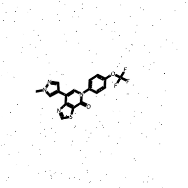 Cn1cc(-c2cn(-c3ccc(OC(F)(F)F)cc3)c(=O)c3scnc23)cn1